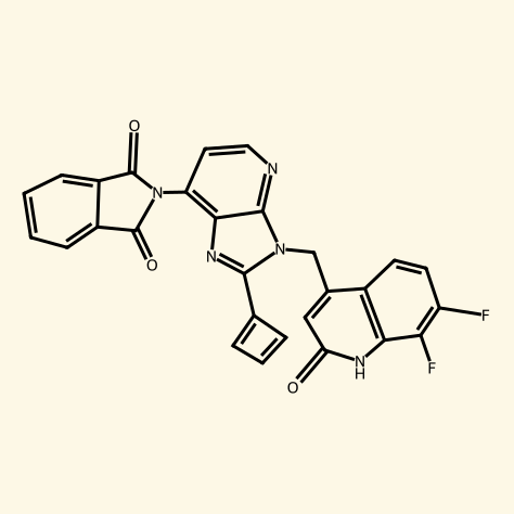 O=C1c2ccccc2C(=O)N1c1ccnc2c1nc(C1=CC=C1)n2Cc1cc(=O)[nH]c2c(F)c(F)ccc12